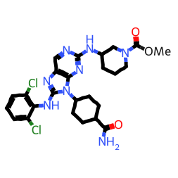 COC(=O)N1CCCC(Nc2ncc3nc(Nc4c(Cl)cccc4Cl)n(C4CCC(C(N)=O)CC4)c3n2)C1